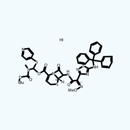 CO/N=C(\C(=O)NC1C(=O)N2C(C(=O)OC(Sc3ccncc3)N(C)C(=O)OC(C)(C)C)=CCS[C@@H]12)c1nsc(NC(c2ccccc2)(c2ccccc2)c2ccccc2)n1.I